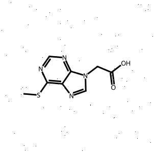 CSc1ncnc2c1ncn2CC(=O)O